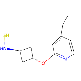 CCc1ccnc(O[C@H]2C[C@H](NS)C2)c1